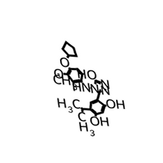 COc1cc(Nn2c(O)nnc2-c2cc(C(C)C)c(O)cc2O)ccc1OC1CCCC1